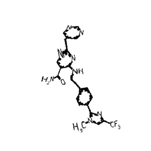 Cn1cc(C(F)(F)F)nc1-c1ccc(CNc2nc(-c3cncnc3)ncc2C(N)=O)cc1